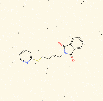 O=C1c2ccccc2C(=O)N1CCCCSc1ccccn1